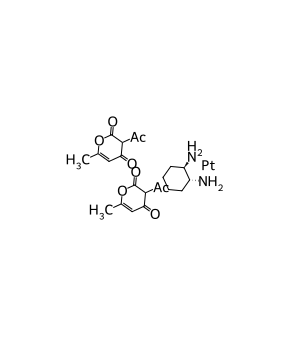 CC(=O)C1C(=O)C=C(C)OC1=O.CC(=O)C1C(=O)C=C(C)OC1=O.N[C@@H]1CCCC[C@H]1N.[Pt]